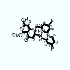 CCOc1nc(C)cc2c1c(=O)cc(NCc1cc(F)ccn1)n2Cc1cc(F)ccn1